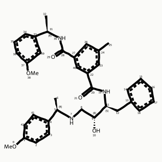 COc1ccc([C@@H](C)NC[C@@H](O)[C@H](Cc2ccccc2)NC(=O)c2cc(C)cc(C(=O)N[C@H](C)c3cccc(OC)c3)c2)cc1